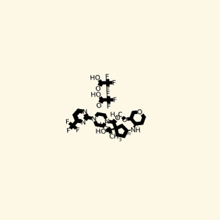 COC1COCC[C@H]1N[C@@H]1CC[C@@](C(=O)N2CCN(c3nccc(C(F)(F)F)n3)CC2)(C(C)(C)O)C1.O=C(O)C(F)(F)F.O=C(O)C(F)(F)F